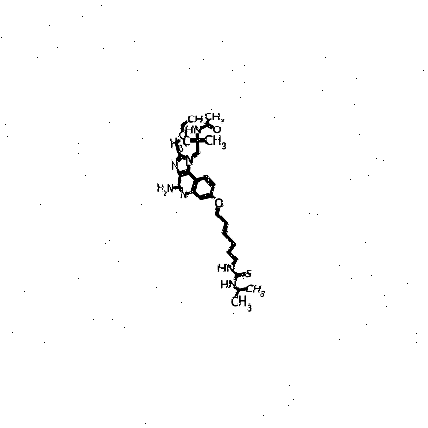 CCOCc1nc2c(N)nc3cc(OCCCCCCNC(=S)NC(C)C)ccc3c2n1CC(C)(C)NC(C)=O